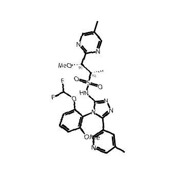 COc1cccc(OC(F)F)c1-n1c(NS(=O)(=O)[C@@H](C)[C@H](OC)c2ncc(C)cn2)nnc1-c1cncc(C)c1